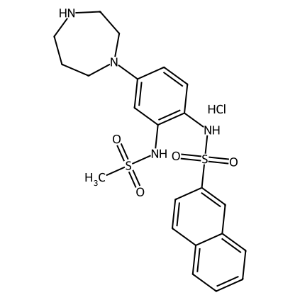 CS(=O)(=O)Nc1cc(N2CCCNCC2)ccc1NS(=O)(=O)c1ccc2ccccc2c1.Cl